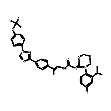 CC(C)c1cc(F)ccc1N1CCCS/C1=N\C(=O)N/C=C(\F)c1ccc(-c2ncn(-c3ccc(OC(F)(F)F)cc3)n2)cc1